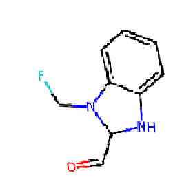 O=CC1Nc2ccccc2N1CF